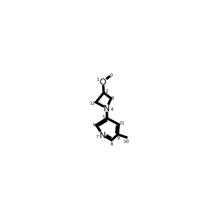 COC1CN(c2cncc(C)c2)C1